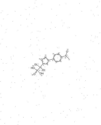 CCC(CC)(c1cc(-c2ccc([S+](C)[O-])cc2)no1)P(=O)(O)O